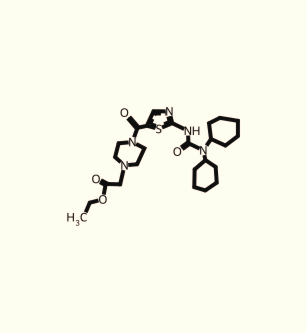 CCOC(=O)CN1CCN(C(=O)c2cnc(NC(=O)N(C3CCCCC3)C3CCCCC3)s2)CC1